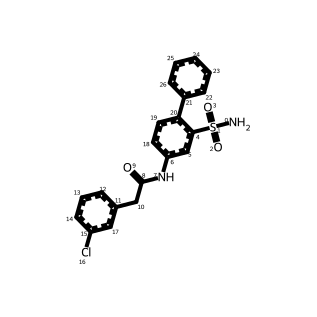 NS(=O)(=O)c1cc(NC(=O)Cc2cccc(Cl)c2)ccc1-c1ccccc1